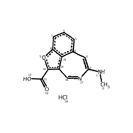 CNC1=Cc2cccc3oc(C(=O)O)c(c23)C=N1.Cl